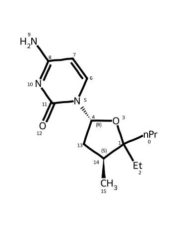 CCCC1(CC)O[C@@H](n2ccc(N)nc2=O)C[C@@H]1C